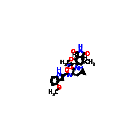 COc1cccc2[nH]c(C(=O)N[C@@H](CC3CC3)C(=O)N[C@@]3(C#N)C[C@H](C)[C@@H]4C(=O)NC(=O)[C@@H]4[C@@H]3OC)cc12